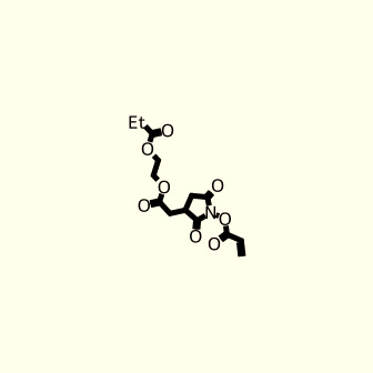 C=CC(=O)ON1C(=O)CC(CC(=O)OCCOC(=O)CC)C1=O